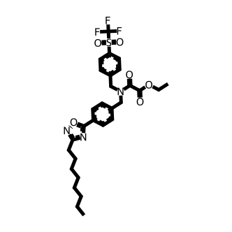 CCCCCCCCc1noc(-c2ccc(CN(Cc3ccc(S(=O)(=O)C(F)(F)F)cc3)C(=O)C(=O)OCC)cc2)n1